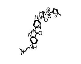 Cc1ccc(S(=O)(=O)NC(=O)Nc2ccc(-n3cnc4cc(NCCN(C)C)ccc4c3=O)nc2)s1